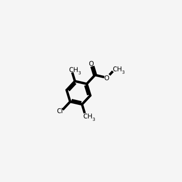 COC(=O)c1cc(C)c(Cl)cc1C